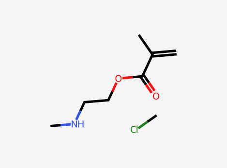 C=C(C)C(=O)OCCNC.CCl